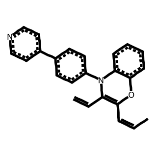 C=CC1=C(/C=C\C)Oc2ccccc2N1c1ccc(-c2ccncc2)cc1